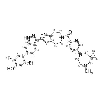 CCc1cc(O)c(F)cc1-c1ccc2c(-c3nc4c([nH]3)CCN(C(=O)c3cnc(N5CCN(C)CC6(CC6)C5)cn3)CC4)n[nH]c2c1